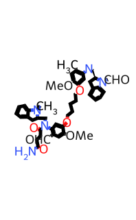 COc1cc(C)c(/N=C\[C@@H]2Cc3ccccc3N2C=O)cc1OCCCCCOc1cc(N(CC2Cc3ccccc3N2C)C(=O)CCC(N)=O)c(C=O)cc1OC